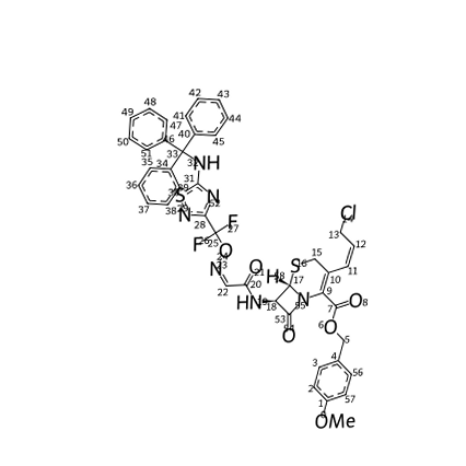 COc1ccc(COC(=O)C2=C(/C=C\CCl)CS[C@H]3[C@H](NC(=O)/C=N\OC(F)(F)c4nsc(NC(c5ccccc5)(c5ccccc5)c5ccccc5)n4)C(=O)N23)cc1